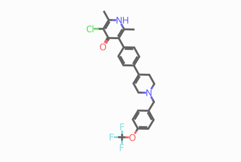 Cc1[nH]c(C)c(-c2ccc(C3=CCN(Cc4ccc(OC(F)(F)F)cc4)CC3)cc2)c(=O)c1Cl